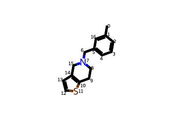 Cc1cccc(CN2CCc3sccc3C2)c1